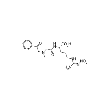 CN(CC(=O)N[C@@H](CCCN/C(N)=N\[N+](=O)[O-])C(=O)O)CC(=O)c1ccccc1